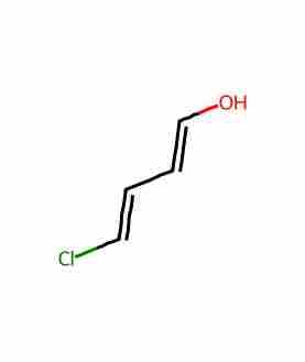 OC=CC=CCl